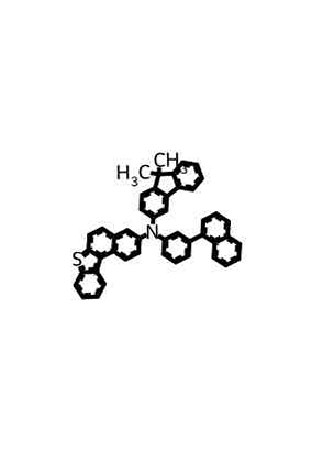 CC1(C)c2ccccc2-c2cc(N(c3cccc(-c4cccc5ccccc45)c3)c3ccc4c(ccc5sc6ccccc6c54)c3)ccc21